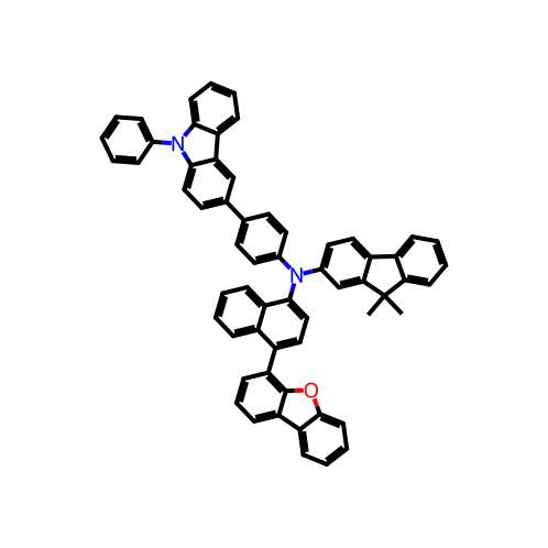 CC1(C)c2ccccc2-c2ccc(N(c3ccc(-c4ccc5c(c4)c4ccccc4n5-c4ccccc4)cc3)c3ccc(-c4cccc5c4oc4ccccc45)c4ccccc34)cc21